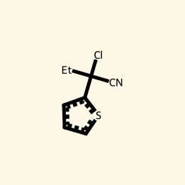 CCC(Cl)(C#N)c1cccs1